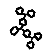 C1=CCC=CC(N(c2ccc(N(c3ccccc3)c3ccccc3)cc2)c2ccc(N(c3ccccc3)c3ccccc3)cc2)=C1